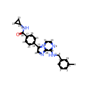 Cc1cccc(CNc2nccn3c(-c4ccc(C(=O)NC5CC5)cc4)cnc23)c1